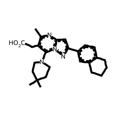 Cc1nc2cc(-c3ccc4c(c3)CCCC4)nn2c(N2CCC(C)(C)CC2)c1CC(=O)O